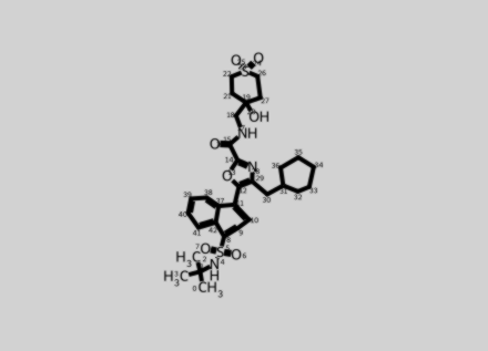 CC(C)(C)NS(=O)(=O)c1ccc(-c2oc(C(=O)NCC3(O)CCS(=O)(=O)CC3)nc2CC2CCCCC2)c2ccccc12